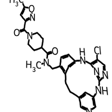 Cc1cc(C(=O)N2CCC(C(=O)N(C)Cc3ccc4cc3CCc3cncc(c3)Nc3ncc(Cl)c(n3)N4)CC2)no1